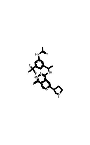 CC(=O)Nc1cc(C(C)Nc2n[nH]c(=O)c3cnc(C4CCNC4)cc23)cc(C(F)(F)F)c1